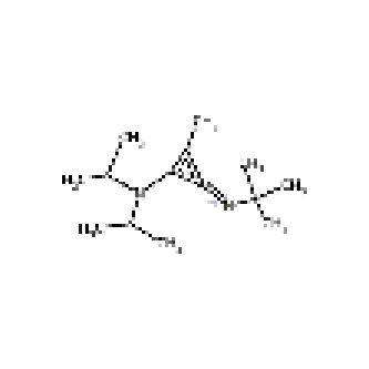 Cc1c(N(C(C)C)C(C)C)/c1=N/C(C)(C)C